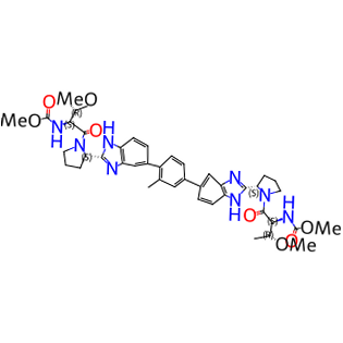 COC(=O)N[C@H](C(=O)N1CCC[C@H]1c1nc2cc(-c3ccc(-c4ccc5[nH]c([C@@H]6CCCN6C(=O)[C@@H](NC(=O)OC)[C@@H](C)OC)nc5c4)c(C)c3)ccc2[nH]1)[C@@H](C)OC